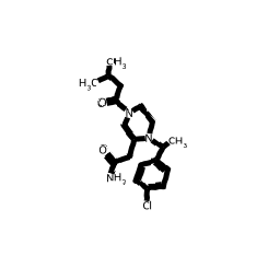 CC(C)CC(=O)N1CCN(C(C)c2ccc(Cl)cc2)C(CC(N)=O)C1